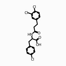 O=C(CCc1ccc(Cl)c(Cl)c1)NC(Cc1ccc(Cl)cc1)C(=O)O